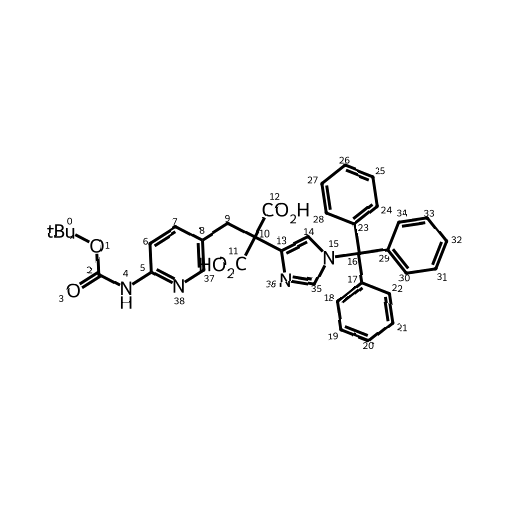 CC(C)(C)OC(=O)Nc1ccc(CC(C(=O)O)(C(=O)O)c2cn(C(c3ccccc3)(c3ccccc3)c3ccccc3)cn2)cn1